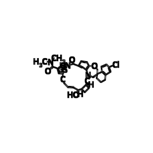 CN(C)C(=O)CC[C@@H]1CC/C=C/[C@H](O)[C@@H]2CC[C@H]2CN2C[C@@]3(CCCc4cc(Cl)ccc43)COc3ccc(cc32)C(=O)NS1(=O)=O